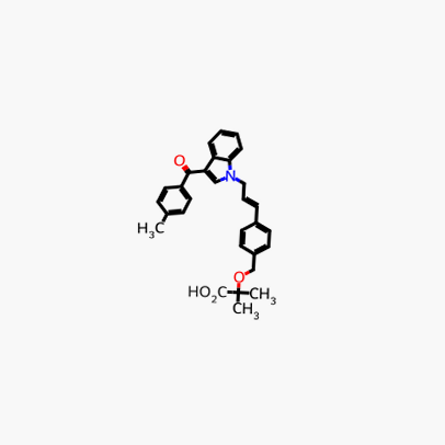 Cc1ccc(C(=O)c2cn(CC=Cc3ccc(COC(C)(C)C(=O)O)cc3)c3ccccc23)cc1